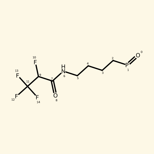 O=PCCCCNC(=O)C(F)C(F)(F)F